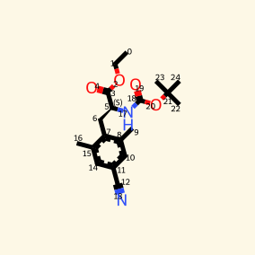 CCOC(=O)[C@H](Cc1c(C)cc(C#N)cc1C)NC(=O)OC(C)(C)C